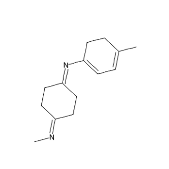 CN=C1CCC(=NC2=CC=C(C)CC2)CC1